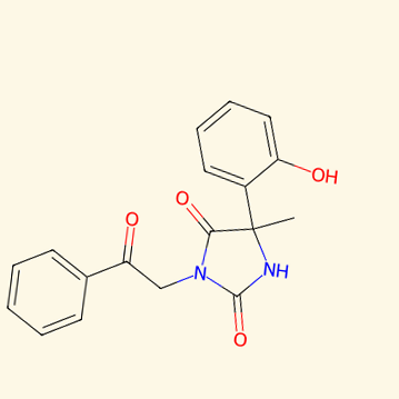 CC1(c2ccccc2O)NC(=O)N(CC(=O)c2ccccc2)C1=O